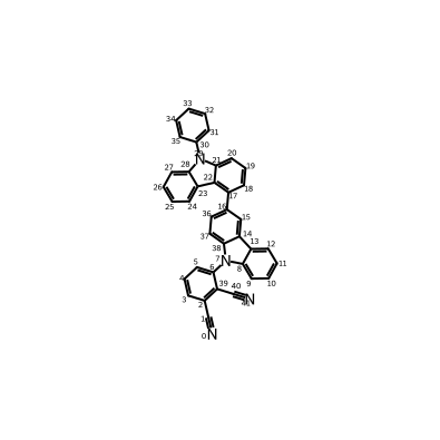 N#Cc1cccc(-n2c3ccccc3c3cc(-c4cccc5c4c4ccccc4n5-c4ccccc4)ccc32)c1C#N